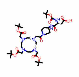 CC(C)(C)OC(=O)CN1CCN(CC(=O)OC(C)(C)C)CCN(CC(=O)N2CCC(NC(=O)[C@@H](CC(=O)O)NC(=O)OC(C)(C)C)CC2)CCN(CC(=O)OC(C)(C)C)CC1